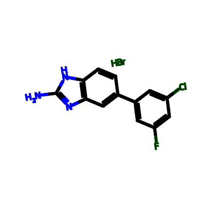 Br.Nc1nc2cc(-c3cc(F)cc(Cl)c3)ccc2[nH]1